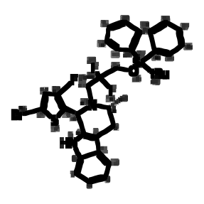 C[C@@H]1Cc2c([nH]c3ccccc23)[C@@H](c2sc(Br)cc2F)N1CC(F)(F)CO[Si](c1ccccc1)(c1ccccc1)C(C)(C)C